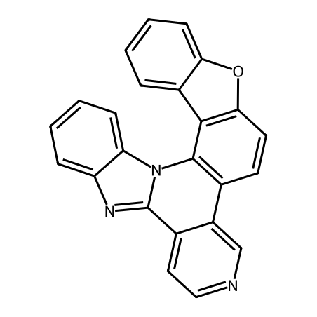 c1ccc2c(c1)nc1c3ccncc3c3ccc4oc5ccccc5c4c3n21